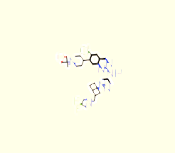 CC1(N2CCC(c3cc4nc(Nc5cnn(C67CCC6C(CN6CC(F)(F)C6)C7)c5)ncc4cc3Cl)CC2)COC1